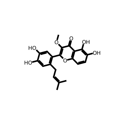 COc1c(-c2cc(O)c(O)cc2CC=C(C)C)oc2ccc(O)c(O)c2c1=O